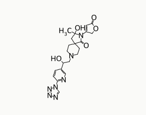 CC1(O)CC2(CCN(CC(O)c3ccc(-n4cnnn4)nc3)CC2)C(=O)N1C1=CC(=O)OC1